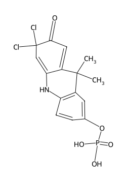 CC1(C)C2=CC(=O)C(Cl)(Cl)C=C2Nc2ccc(OP(=O)(O)O)cc21